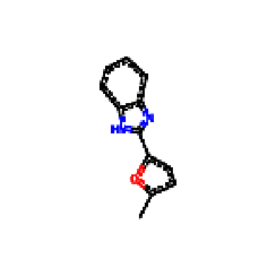 Cc1ccc(-c2nc3ccccc3[nH]2)o1